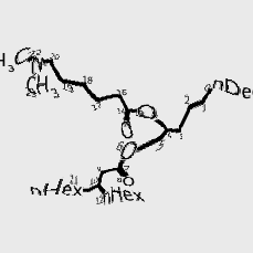 CCCCCCCCCCCCCC(COC(=O)CC(CCCCCC)CCCCCC)OC(=O)CCCCCN(C)C